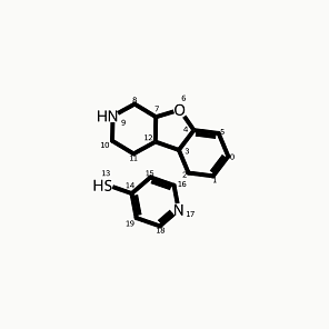 C1=CCC2C(=C1)OC1CNCCC12.Sc1ccncc1